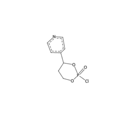 O=P1(Cl)OCCC(c2ccncc2)O1